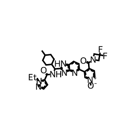 CCn1nccc1C(=O)NC(c1nc2nc(-c3c[n+]([O-])ccc3C(=O)N3CC(F)(F)C3)ccc2[nH]1)C1CCC(C)CC1